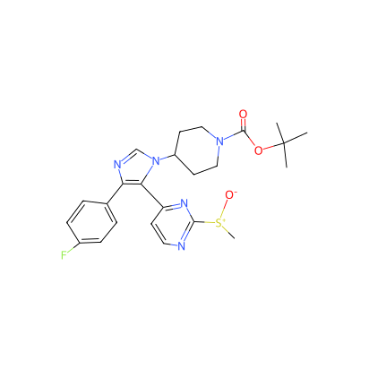 C[S+]([O-])c1nccc(-c2c(-c3ccc(F)cc3)ncn2C2CCN(C(=O)OC(C)(C)C)CC2)n1